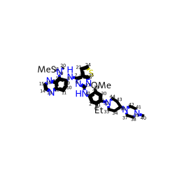 CCc1cc(Nc2nc(Nc3ccc4nccnc4c3N(C)SC)c3ccsc3n2)c(OC)cc1N1CCC(N2CCN(C)CC2)CC1